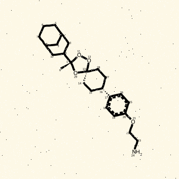 C[C@@]1(C2CC3CCCC(C3)C2)OO[C@]2(CC[C@@H](c3ccc(OCCN)cc3)CC2)O1